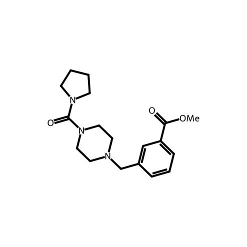 COC(=O)c1cccc(CN2CCN(C(=O)N3CCCC3)CC2)c1